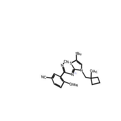 COc1ccc(C#N)cc1C(=NC#N)/N=c1\sc(C(C)(C)C)cn1CC1(OC(C)=O)CCC1